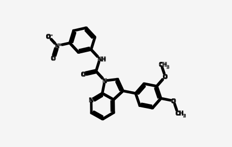 COc1ccc(-c2cn(C(=O)Nc3cccc([N+](=O)[O-])c3)c3ncccc23)cc1OC